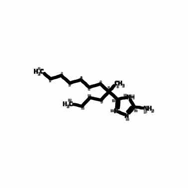 CCCCCCCC(C)(CCCC)c1nnc(N)[nH]1